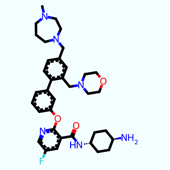 CN1CCCN(Cc2ccc(-c3cccc(Oc4ncc(F)cc4C(=O)N[C@H]4CC[C@H](N)CC4)c3)c(CN3CCOCC3)c2)CC1